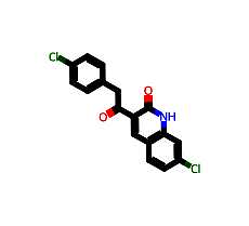 O=C(Cc1ccc(Cl)cc1)c1cc2ccc(Cl)cc2[nH]c1=O